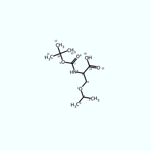 CC(C)OCC(NC(=O)OC(C)(C)C)C(=O)O